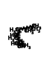 CC(C)=CCC/C(C)=C/CC/C(C)=C/CCC(C)(O)CCc1ccc(C)c(O)c1O